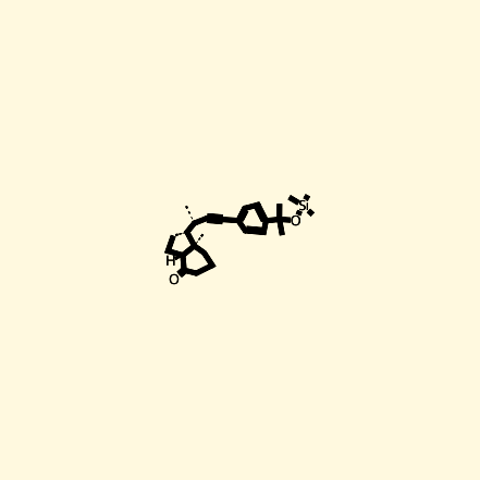 C[C@H](C#Cc1ccc(C(C)(C)O[Si](C)(C)C)cc1)[C@H]1CC[C@H]2C(=O)CCC[C@]12C